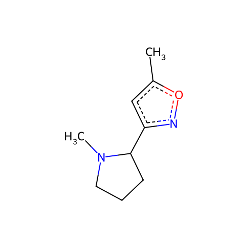 Cc1cc(C2CCCN2C)no1